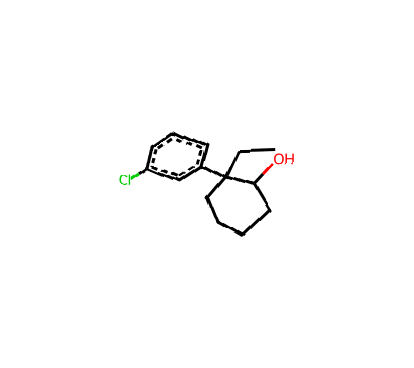 CCC1(c2cccc(Cl)c2)CCCCC1O